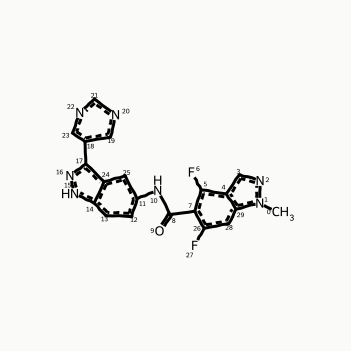 Cn1ncc2c(F)c(C(=O)Nc3ccc4[nH]nc(-c5cncnc5)c4c3)c(F)cc21